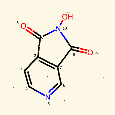 O=C1c2ccncc2C(=O)N1O